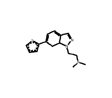 CN(C)CCN1N=CC2=CC=C(c3cccs3)CC21